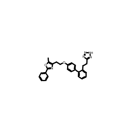 Cc1oc(-c2ccccc2)nc1CCOc1ccc(-c2ccccc2CCc2nn[nH]n2)cc1